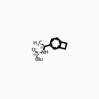 C[C@H](N[S@+]([O-])C(C)(C)C)c1ccc2c(c1)CC2